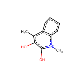 Cc1c(O)c(O)[n+](C)c2ccccc12